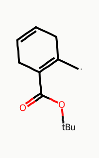 [CH2]C1=C(C(=O)OC(C)(C)C)CC=CC1